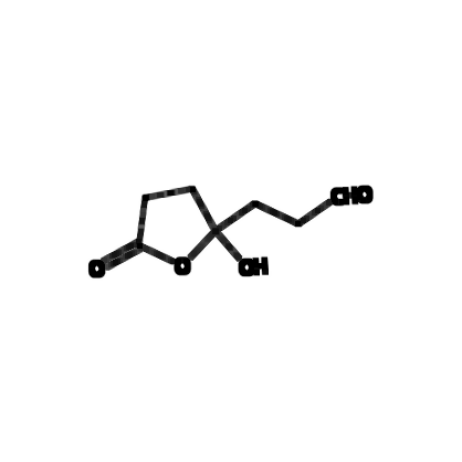 O=CCCC1(O)CCC(=O)O1